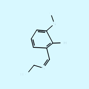 CC/N=C\c1cccc(NC)c1C